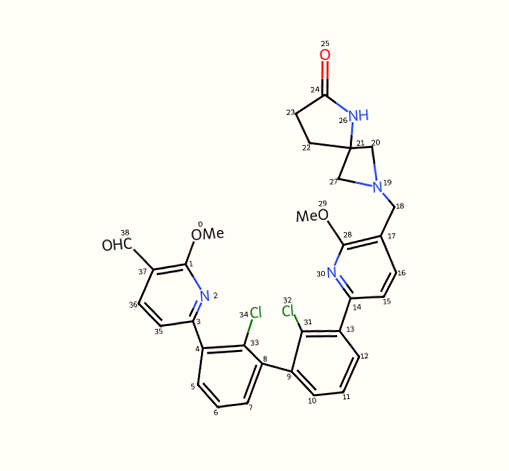 COc1nc(-c2cccc(-c3cccc(-c4ccc(CN5CC6(CCC(=O)N6)C5)c(OC)n4)c3Cl)c2Cl)ccc1C=O